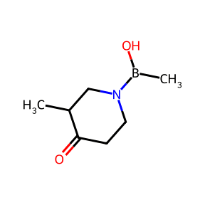 CB(O)N1CCC(=O)C(C)C1